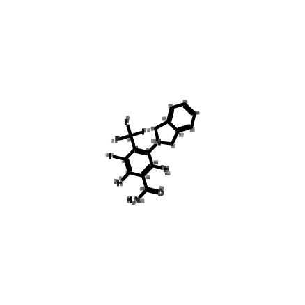 [2H]c1c(F)c(C(F)(F)F)c(N2Cc3ccccc3C2)c([2H])c1C(N)=O